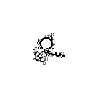 CC(CN1CC(=O)NC(=O)C1)N1CC(=O)NC(=O)C1.CO[C@@H](/C(C)=C/C=C/C(C)=C/c1coc(C)n1)[C@@H](C)[C@@H]1C[C@H](O)[C@@]2(C)O[C@@H]2/C=C/[C@@H](C)[C@H]2C[C@H](CC(=O)O2)C[C@@H]2O[C@H]2C(=O)O1